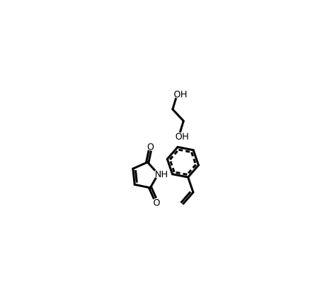 C=Cc1ccccc1.O=C1C=CC(=O)N1.OCCO